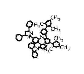 Cc1cc(C)c(-c2ccc3c(c2)c2cc(-c4c(C)cc(C)cc4C)ccc2n3-c2cc(-c3nc(-c4ccccc4)cc(-c4ccccc4)n3)ccc2-c2ccccc2-n2c3ccccc3c3ccccc32)c(C)c1